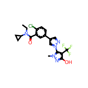 CCN(C(=O)c1cc(-c2cnn(-c3c(C(F)(F)F)c(O)nn3C)c2)ccc1Cl)C1CC1